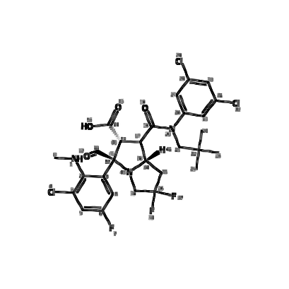 CNc1c(Cl)cc(F)cc1[C@]1(C=O)[C@H](C(=O)O)C(C(=O)N(CC(C)(C)C)c2cc(Cl)cc(Cl)c2)[C@@H]2CC(F)(F)CN21